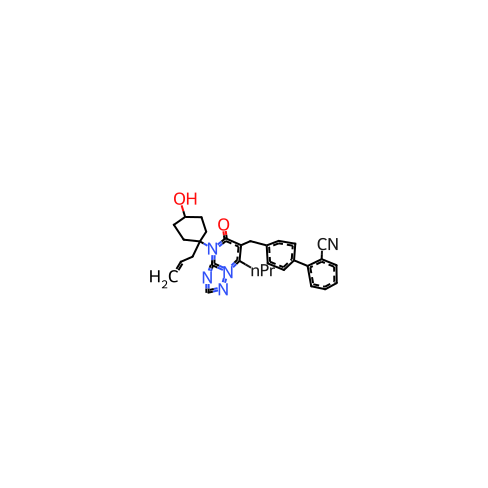 C=CCC1(n2c(=O)c(Cc3ccc(-c4ccccc4C#N)cc3)c(CCC)n3ncnc23)CCC(O)CC1